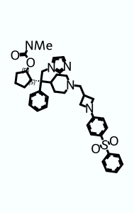 CNC(=O)O[C@@H]1CCC[C@H]1C(Cn1ccnc1)(c1ccccc1)C1CCN(CC2CN(c3ccc(S(=O)(=O)c4ccccc4)cc3)C2)CC1